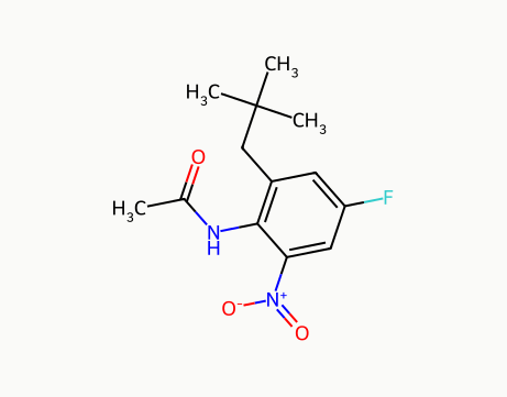 CC(=O)Nc1c(CC(C)(C)C)cc(F)cc1[N+](=O)[O-]